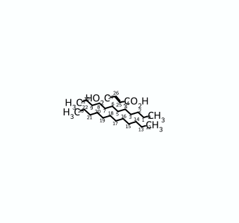 CCCCCCCCCCCC.CCCCCCCCCCCC.O=C(O)/C=C/C(=O)O